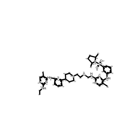 CCNc1ncc(C)c(Nc2cccc(C3CCN(CCOCNc4ncc(C)c(Nc5cccc(S(=O)(=O)N6C(C)CCC6C)c5)n4)CC3)c2)n1